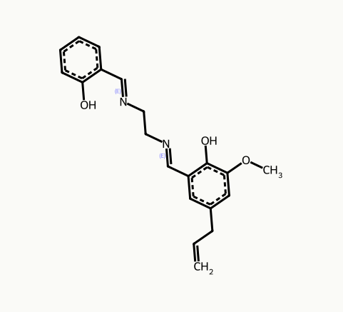 C=CCc1cc(/C=N/CC/N=C/c2ccccc2O)c(O)c(OC)c1